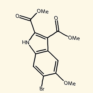 COC(=O)c1[nH]c2cc(Br)c(OC)cc2c1C(=O)OC